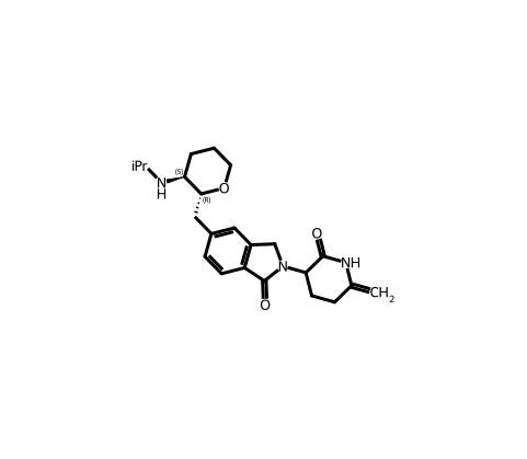 C=C1CCC(N2Cc3cc(C[C@H]4OCCC[C@@H]4NC(C)C)ccc3C2=O)C(=O)N1